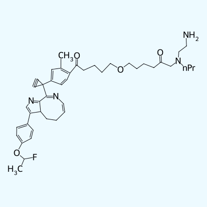 CCCN(CCN)CC(=O)CCCCOCCCCC(=O)c1ccc(C2(/C3=N/C=C\CCC4C(c5ccc(OC(C)F)cc5)=CN=C34)C#C2)cc1C